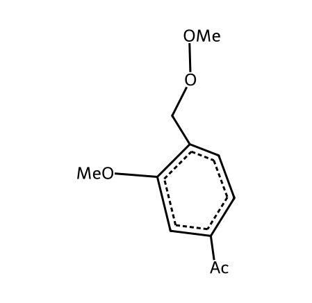 COOCc1ccc(C(C)=O)cc1OC